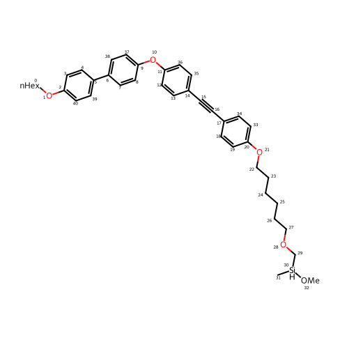 CCCCCCOc1ccc(-c2ccc(Oc3ccc(C#Cc4ccc(OCCCCCCOC[SiH](C)OC)cc4)cc3)cc2)cc1